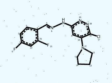 Fc1ccc(/C=N/Nc2cc(N3CCCC3)c(Cl)nn2)c(F)c1